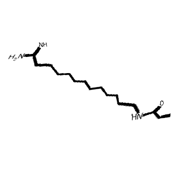 C=CC(=O)NCCCCCCCCCCCCC(=N)N